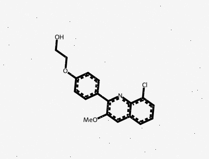 COc1cc2cccc(Cl)c2nc1-c1ccc(OCCO)cc1